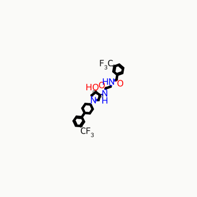 O=C(CNC(=O)c1cccc(C(F)(F)F)c1)N[C@H]1CN(C2CCC(c3cccc(C(F)(F)F)c3)CC2)C[C@H]1O